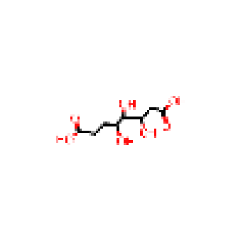 O=C(O)CCC(O)C(O)C(O)CC(=O)O